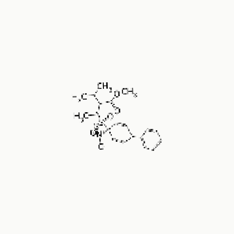 COC(=O)C(C(C)C)N(C)S(=O)(=O)C1([N+](=O)[O-])C=CC(c2ccccc2)C=C1